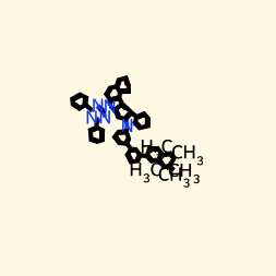 CC1CC(C)(C)c2ccc(-c3cccc(-c4cccc(-n5c6ccccc6c6cc7c8c9ccccc9ccc8n(-c8nc(-c9ccccc9)nc(-c9ccccc9)n8)c7cc65)c4)c3)cc2C1(C)C